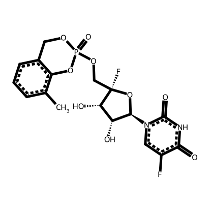 Cc1cccc2c1OP(=O)(OC[C@@]1(F)O[C@@H](n3cc(F)c(=O)[nH]c3=O)[C@H](O)[C@@H]1O)OC2